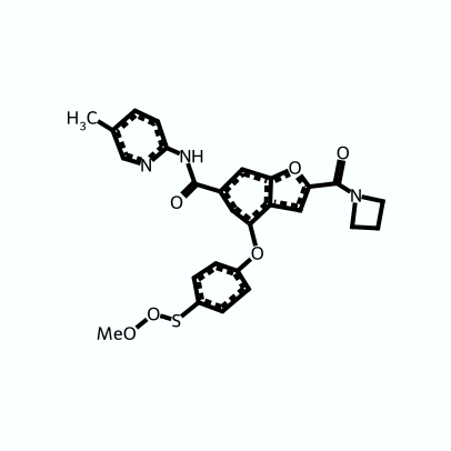 COOSc1ccc(Oc2cc(C(=O)Nc3ccc(C)cn3)cc3oc(C(=O)N4CCC4)cc23)cc1